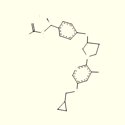 CC(=O)N[C@@H](C)c1ccc(OC2CCN(c3ncc(OCC4CC4)cc3F)C2)cc1